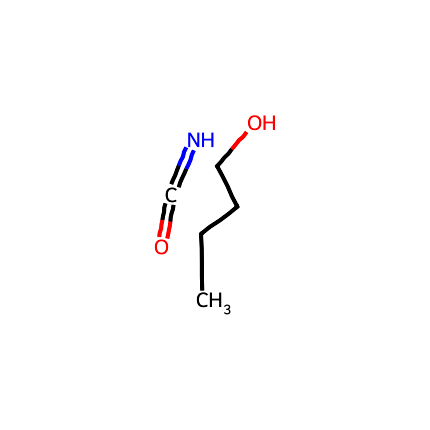 CCCCO.N=C=O